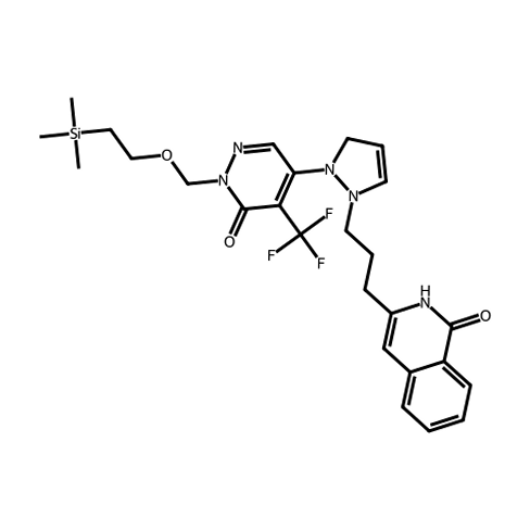 C[Si](C)(C)CCOCn1ncc(N2CC=CN2CCCc2cc3ccccc3c(=O)[nH]2)c(C(F)(F)F)c1=O